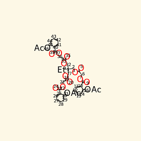 CCC(COC(=O)COC(=O)c1ccccc1OC(C)=O)(COC(=O)COC(=O)c1ccccc1OC(C)=O)COC(=O)COC(=O)c1ccccc1OC(C)=O